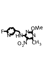 COc1nc(C)c([N+](=O)[O-])c(NCc2ccc(F)nc2)n1